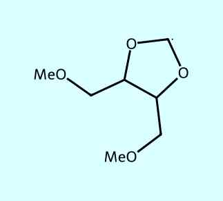 COCC1O[CH]OC1COC